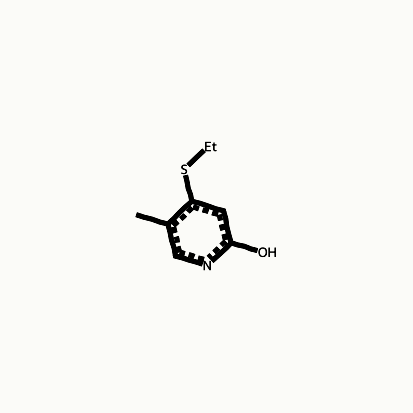 CCSc1cc(O)ncc1C